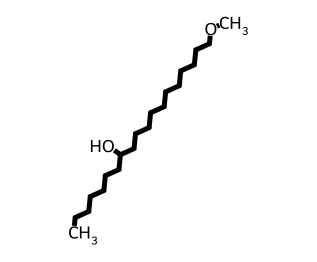 CCCCCCCC(O)CCCCCCCCCCCOC